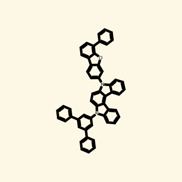 c1ccc(-c2cc(-c3ccccc3)cc(-n3c4ccccc4c4c5c6ccccc6n(-c6ccc7c(c6)oc6c(-c8ccccc8)cccc67)c5ccc43)c2)cc1